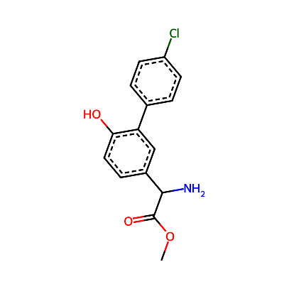 COC(=O)C(N)c1ccc(O)c(-c2ccc(Cl)cc2)c1